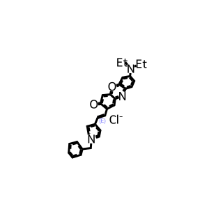 CCN(CC)c1ccc2nc3cc(/C=C/c4cc[n+](Cc5ccccc5)cc4)c(=O)cc-3oc2c1.[Cl-]